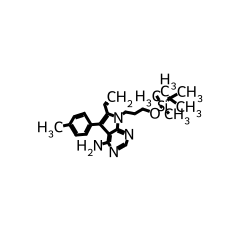 C=Cc1c(-c2ccc(C)cc2)c2c(N)ncnc2n1CCCO[Si](C)(C)C(C)(C)C